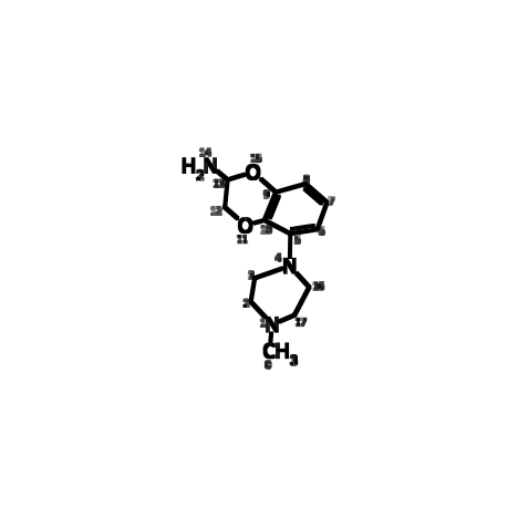 CN1CCN(c2cccc3c2OCC(N)O3)CC1